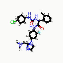 Cc1ccccc1C(NC(=O)Nc1ccc(Cl)cc1)C(=O)Nc1ccc(-n2ccnc2CN(C)C)cc1F